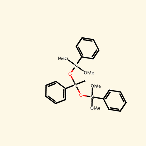 CO[Si](OC)(O[Si](C)(O[Si](OC)(OC)c1ccccc1)c1ccccc1)c1ccccc1